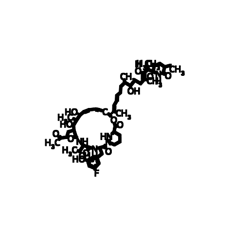 CCC1C[C@H](C)[C@@](O)(C(C)C(O)C(C)CCC(O)C(C)CC/C=C/C=C(\C)[C@@H]2C/C=C/C=C/[C@H](O)C(C)C(O)C(CCC(C)=O)C(=O)NC(C(C)C)C(=O)NC(Cc3cc(O)cc(F)c3)C(=O)N3CCCC(N3)C(=O)O2)NC1=O